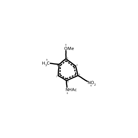 COc1cc([N+](=O)[O-])c(NC(C)=O)cc1C